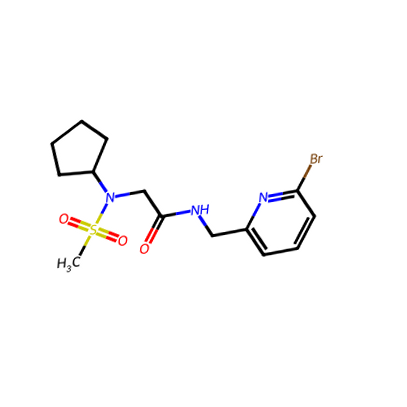 CS(=O)(=O)N(CC(=O)NCc1cccc(Br)n1)C1CCCC1